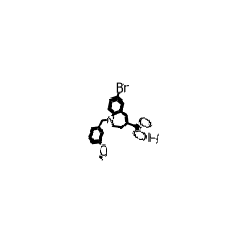 COc1cccc(CN2CCC(C(=O)O)=Cc3cc(Br)ccc32)c1